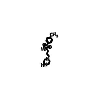 Cc1ccc(S(=O)(=O)NCCCN2CCNCC2)cc1